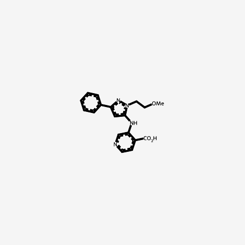 COCCn1nc(-c2ccccc2)cc1Nc1cnccc1C(=O)O